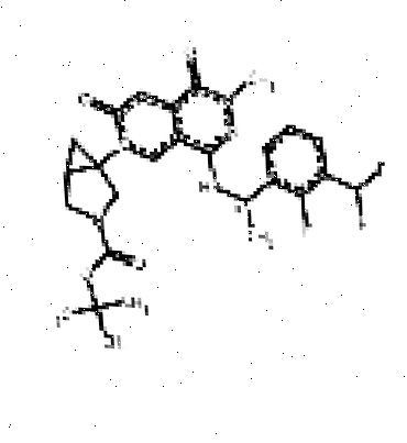 C[C@@H](Nc1nn(C)c(=O)c2cc(=O)n(C34CC3CN(C(=O)OC(C)(C)C)C4)cc12)c1cccc(C(F)F)c1F